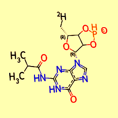 [2H]C[C@H]1O[C@@H](n2cnc3c(=O)[nH]c(NC(=O)C(C)C)nc32)C2O[PH](=O)OC21